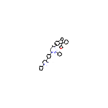 Cc1nc(-c2ccccc2)ccc1-c1ccc(/C2=N/C(c3ccccc3)=N\C(c3ccc4c(c3)C3(c5ccccc5Sc5ccccc53)c3ccccc3-4)C(C)CC2)cc1